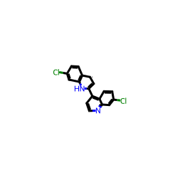 Clc1ccc2c(c1)NC(c1ccnc3cc(Cl)ccc13)=C[CH]2